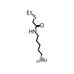 CCSCC(=O)NCCCCC[C@H](C)CC